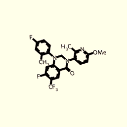 COc1ccc(N2CN(c3ccc(F)cc3C)c3cc(F)c(C(F)(F)F)cc3C2=O)c(C)n1